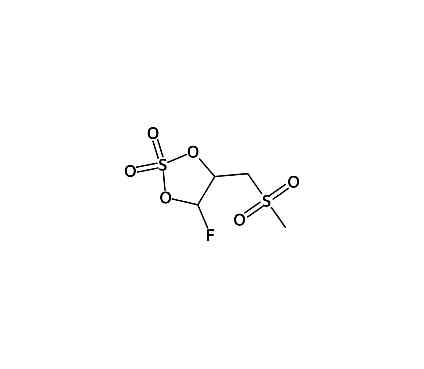 CS(=O)(=O)CC1OS(=O)(=O)OC1F